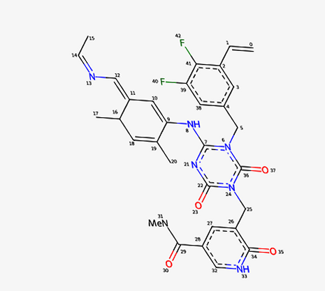 C=Cc1cc(Cn2c(NC3=C/C(=C/N=C\C)C(C)C=C3C)nc(=O)n(Cc3cc(C(=O)NC)c[nH]c3=O)c2=O)cc(F)c1F